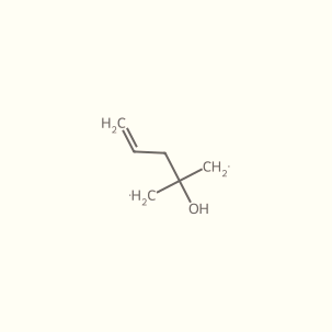 [CH2]C([CH2])(O)CC=C